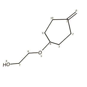 C=C1CCC(OCCO)CC1